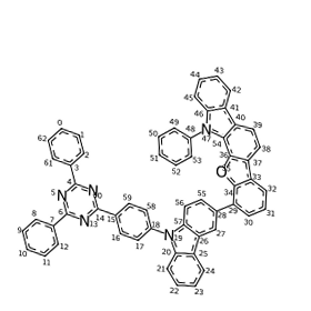 c1ccc(-c2nc(-c3ccccc3)nc(-c3ccc(-n4c5ccccc5c5cc(-c6cccc7c6oc6c7ccc7c8ccccc8n(-c8ccccc8)c76)ccc54)cc3)n2)cc1